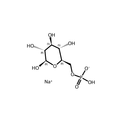 O=P([O-])(O)OC[C@H]1O[C@@H](O)[C@H](O)[C@@H](O)[C@@H]1O.[Na+]